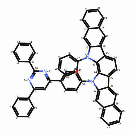 c1ccc(-c2cc(-c3ccc(-n4c5cc6ccccc6cc5c5ccc6c7cc8ccccc8cc7n(-c7ccccc7)c6c54)cc3)nc(-c3ccccc3)n2)cc1